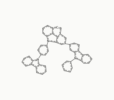 c1ccc(-n2c3ccccc3c3ccc(-c4cc5ccc6cccc7c6c5c(c4)n7-c4ccc(-n5c6ccccc6c6ccccc65)cc4)cc32)cc1